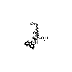 CCCCCCCCCCCCCCCC(=O)OC[C@H](NC(=O)OCC1c2ccccc2-c2ccccc21)C(=O)O